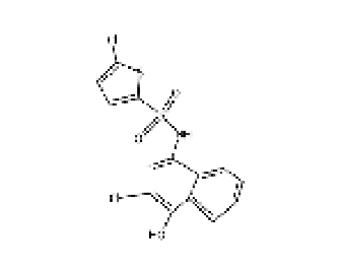 O=S(=O)(Nc1cc(Cl)c(O)c2ccccc12)c1ccc(Cl)s1